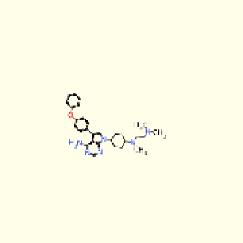 CN(C)CCN(C)[C@H]1CC[C@H](n2cc(-c3ccc(Oc4ccccc4)cc3)c3c(N)ncnc32)CC1